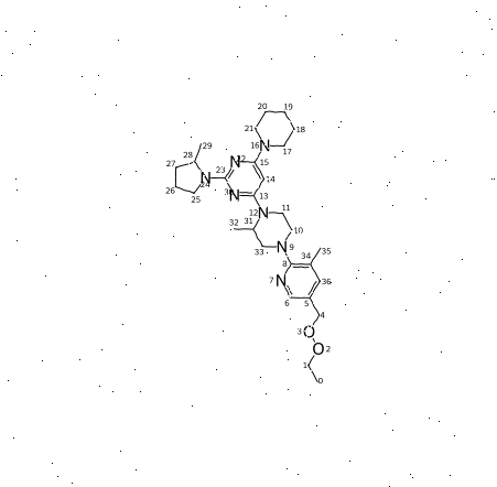 CCOOCc1cnc(N2CCN(c3cc(N4CCCCC4)nc(N4CCCC4C)n3)C(C)C2)c(C)c1